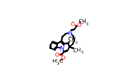 CCC12C=C(C(=O)OC)n3c(c(c4ccccc43)CCN(/C=C/C(=O)OC)CCC1)C2C